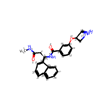 CNC(=O)C[C@@H](NC(=O)c1cccc(OC2CNC2)c1)c1cccc2ccccc12